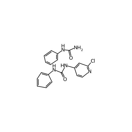 NC(=O)Nc1ccccc1.O=C(Nc1ccccc1)Nc1ccnc(Cl)c1